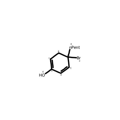 CCCCCC1(Br)C=CC(O)=CC1